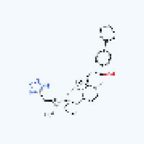 C[C@H](CCc1nnn[nH]1)C1CCC2C3CCC4CC(O)(c5ccc(-c6ccccc6)cc5)CCC4(C)C3CCC21C